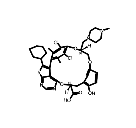 Cc1c(Cl)c2c(Cl)c(C)c1-c1c(C3CCCCC3)sc3ncnc(c13)O[C@@H](C(=O)O)Cc1cc(ccc1O)OC[C@@H](CN1CCN(C)CC1)O2